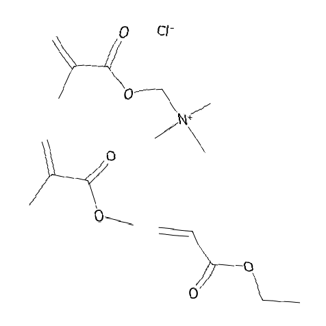 C=C(C)C(=O)OC.C=C(C)C(=O)OC[N+](C)(C)C.C=CC(=O)OCC.[Cl-]